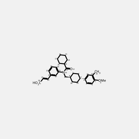 COc1ccc([C@H]2CC[C@H](CN(C(=O)C3CCCCC3)c3cccc(C=CC(=O)O)c3)CC2)cc1C